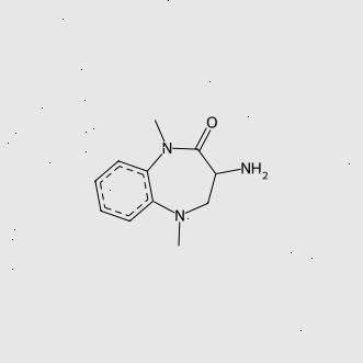 CN1CC(N)C(=O)N(C)c2ccccc21